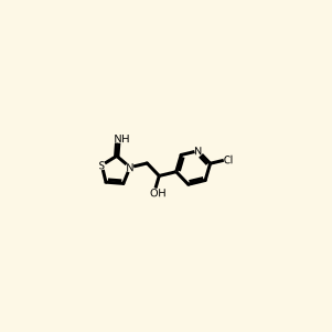 N=c1sccn1CC(O)c1ccc(Cl)nc1